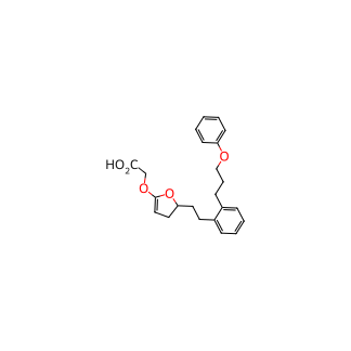 O=C(O)COC1=CCC(CCc2ccccc2CCCOc2ccccc2)O1